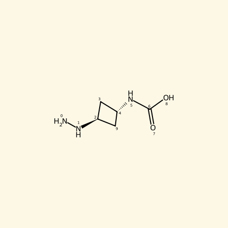 NN[C@H]1C[C@H](NC(=O)O)C1